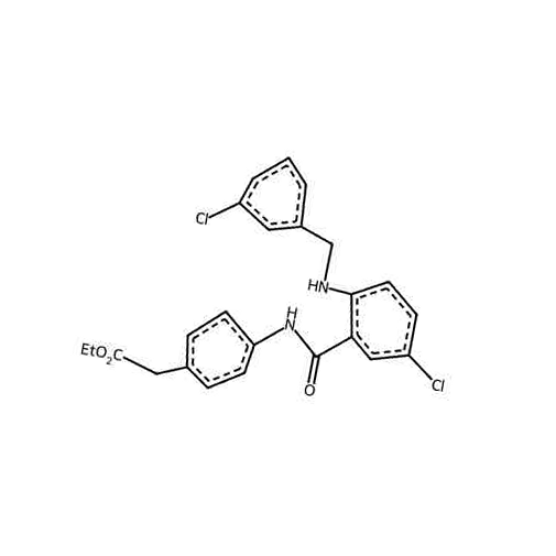 CCOC(=O)Cc1ccc(NC(=O)c2cc(Cl)ccc2NCc2cccc(Cl)c2)cc1